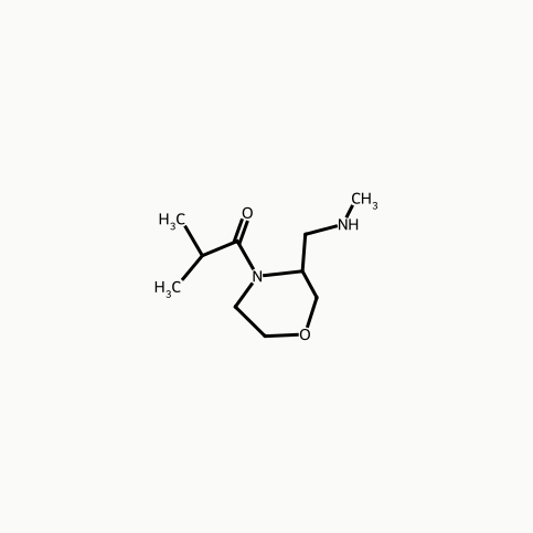 CNCC1COCCN1C(=O)C(C)C